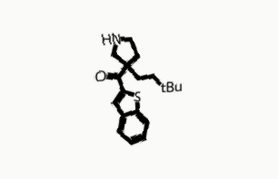 CC(C)(C)CCC1(C(=O)c2cc3ccccc3s2)CCNC1